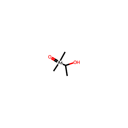 CC(O)[As](C)(C)=O